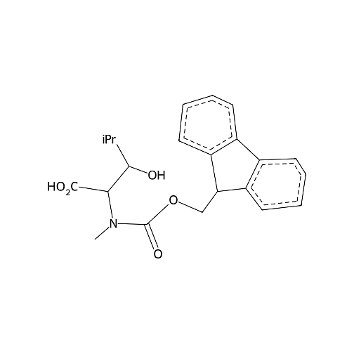 CC(C)C(O)C(C(=O)O)N(C)C(=O)OCC1c2ccccc2-c2ccccc21